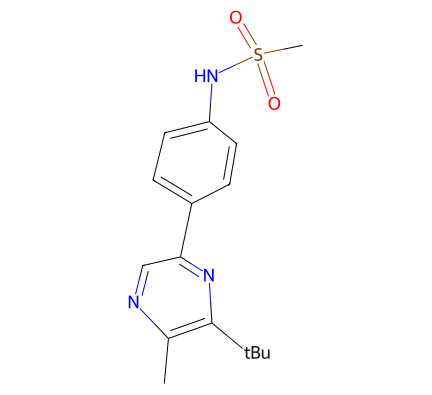 Cc1ncc(-c2ccc(NS(C)(=O)=O)cc2)nc1C(C)(C)C